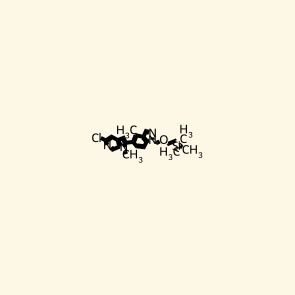 Cc1c(-c2cc3cc(Cl)ncc3n2C)ccc2c1cnn2COCC[Si](C)(C)C